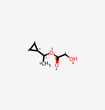 CC(OC(=O)CO)C1CC1